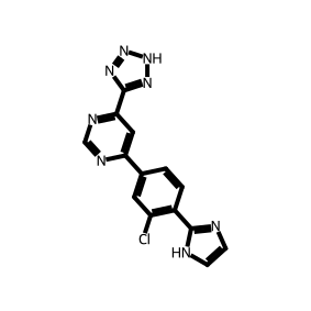 Clc1cc(-c2cc(-c3nn[nH]n3)ncn2)ccc1-c1ncc[nH]1